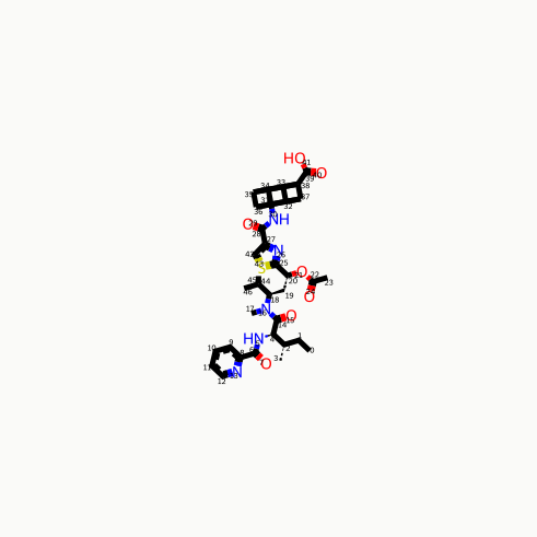 CC[C@H](C)[C@H](NC(=O)c1ccccn1)C(=O)N(C)[C@H](C[C@@H](OC(C)=O)c1nc(C(=O)NC23C4C5C2C2C3C4C52C(=O)O)cs1)C(C)C